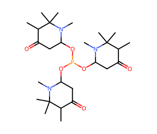 CC1C(=O)CC(OP(OC2CC(=O)C(C)C(C)(C)N2C)OC2CC(=O)C(C)C(C)(C)N2C)N(C)C1(C)C